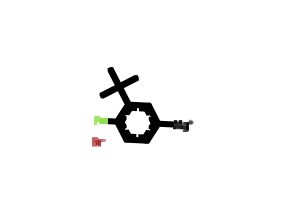 CC(C)(C)c1c[c]([Mg+])ccc1F.[Br-]